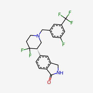 O=C1NCc2cc([C@H]3CN(Cc4cc(F)cc(C(F)(F)F)c4)CCC3(F)F)ccc21